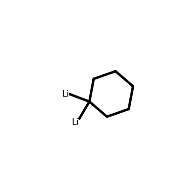 [Li][C]1([Li])CCCCC1